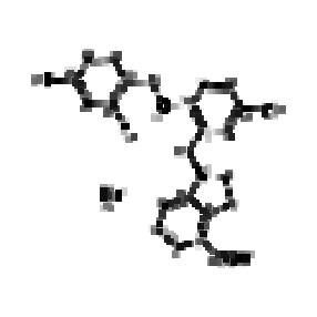 O=C([O-])c1cccc2c1CCN2Cc1cc(Cl)ccc1OCc1ccc(F)cc1F.[Na+]